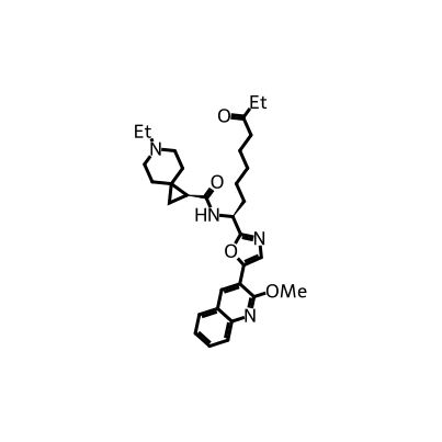 CCC(=O)CCCCC[C@H](NC(=O)[C@H]1CC12CCN(CC)CC2)c1ncc(-c2cc3ccccc3nc2OC)o1